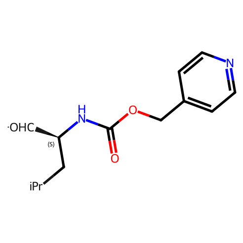 CC(C)C[C@@H]([C]=O)NC(=O)OCc1ccncc1